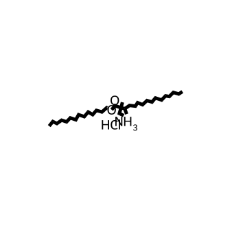 CCCCCCCCCCCCCCOC(=O)C(C)(CC)C(C)CCCCCCCCCCCCC.Cl.N